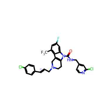 O=C(NCc1ccnc(Cl)c1)n1c2c(c3c(C(F)(F)F)cc(F)cc31)CN(C/C=C/c1ccc(Cl)cc1)CC2